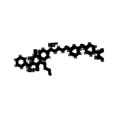 CCCCN1C(=O)[C@@H]([C@H](O)C2CCCCC2)NC(=O)C12CCN(CCCCOc1cccc(Oc3ccc(C(=O)NC)cc3)c1)CC2.Cl